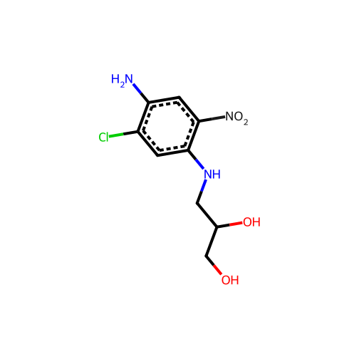 Nc1cc([N+](=O)[O-])c(NCC(O)CO)cc1Cl